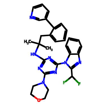 CC(C)(Cc1ccccc1-c1cccnc1)Nc1nc(N2CCOCC2)nc(-n2c(C(F)F)nc3ccccc32)n1